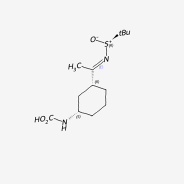 C/C(=N\[S@@+]([O-])C(C)(C)C)[C@@H]1CCC[C@H](NC(=O)O)C1